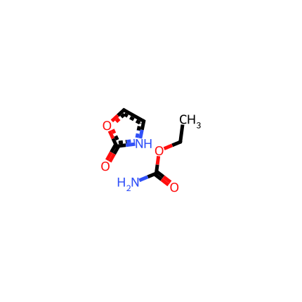 CCOC(N)=O.O=c1[nH]cco1